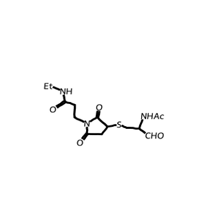 CCNC(=O)CCN1C(=O)CC(SCC(C=O)NC(C)=O)C1=O